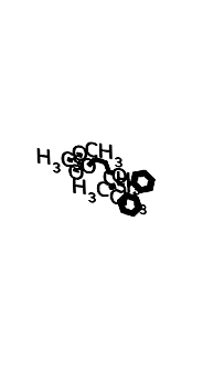 CC(CCO[Si](c1ccccc1)(c1ccccc1)C(C)(C)C)OS(C)(=O)=O